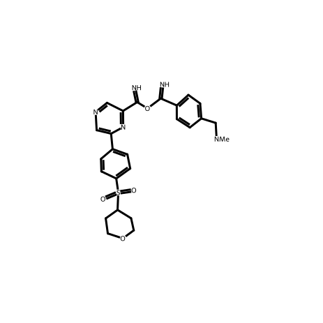 CNCc1ccc(C(=N)OC(=N)c2cncc(-c3ccc(S(=O)(=O)C4CCOCC4)cc3)n2)cc1